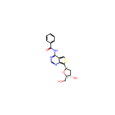 O=C(Nc1ncnc2c([C@H]3C[C@H](O)[C@@H](CO)O3)scc12)c1ccccc1